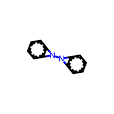 c1ccc2c(c1)N2N1c2ccccc21